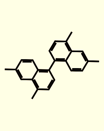 Cc1ccc2c(-c3ccc(C)c4cc(C)ccc34)ccc(C)c2c1